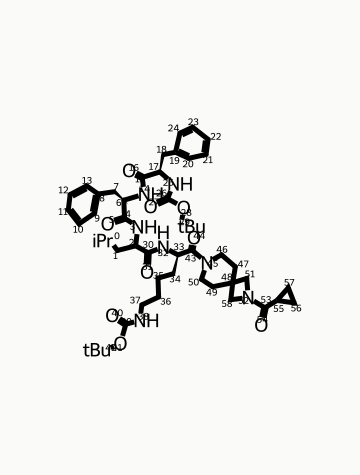 CC(C)CC(NC(=O)[C@@H](Cc1ccccc1)NC(=O)[C@@H](Cc1ccccc1)NC(=O)OC(C)(C)C)C(=O)N[C@H](CCCCNC(=O)OC(C)(C)C)C(=O)N1CCC2(CC1)CN(C(=O)C1CC1)C2